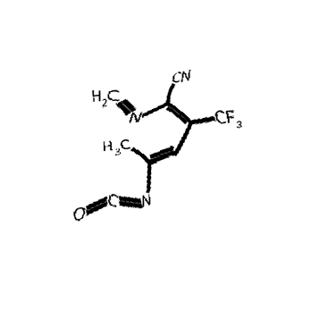 C=N/C(C#N)=C(\C=C(/C)N=C=O)C(F)(F)F